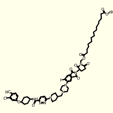 CC(C)(C)OC(=O)CCCCCCCCCCCCCCC(=O)OCN1C(=O)CCC(N2C(=O)c3cc(F)c(N4CCN(CC5CCN(c6ccc(C(=O)NC7CCC(Oc8ccc(C#N)c(Cl)c8)CC7)nn6)CC5)CC4)cc3C2=O)C1=O